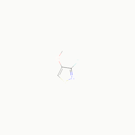 COc1csnc1F